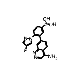 Nc1cnnc2cc(-c3cc(B(O)O)ccc3-n3cc(F)cn3)ccc12